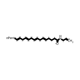 C=CCNC(=O)CCC/C=C/C/C=C/C/C=C/C/C=C/CCCCC